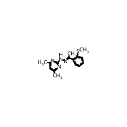 CSc1ccccc1C(C)=NNc1nc(C)cc(C)n1